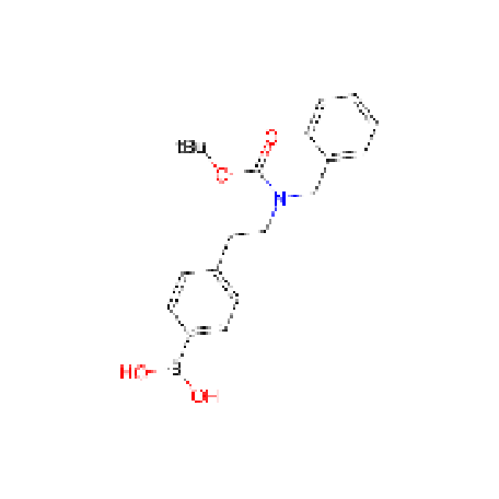 CC(C)(C)OC(=O)N(CCc1ccc(B(O)O)cc1)Cc1ccccc1